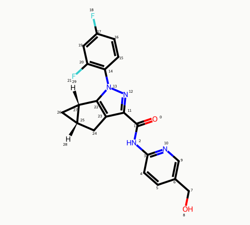 O=C(Nc1ccc(CO)cn1)c1nn(-c2ccc(F)cc2F)c2c1C[C@@H]1C[C@H]21